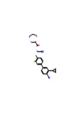 N#Cc1ccc(-c2ccc(C[C@@H](C#N)NC(=O)C3CNCCCO3)c(F)c2)cc1C1CC1